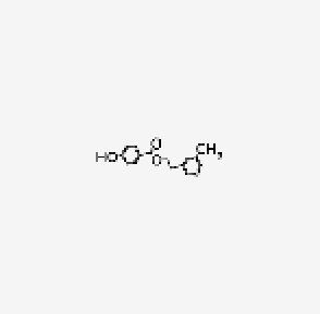 Cc1cccc(CCOC(=O)c2ccc(O)cc2)c1